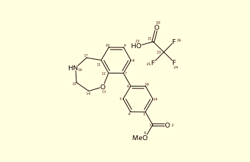 COC(=O)c1ccc(-c2cccc3c2OCCNC3)cc1.O=C(O)C(F)(F)F